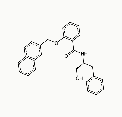 O=C(N[C@H](CO)Cc1ccccc1)c1ccccc1OCc1ccc2ccccc2c1